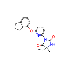 CC[C@@]1(C)NC(=O)N(c2cccc(Oc3cccc4c3CCC4)n2)C1=O